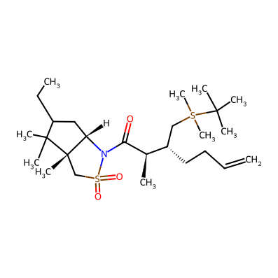 C=CCC[C@@H](CS(C)(C)C(C)(C)C)[C@@H](C)C(=O)N1[C@H]2CC(CC)C(C)(C)[C@@]2(C)CS1(=O)=O